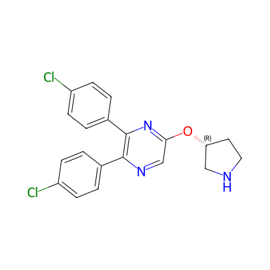 Clc1ccc(-c2ncc(O[C@@H]3CCNC3)nc2-c2ccc(Cl)cc2)cc1